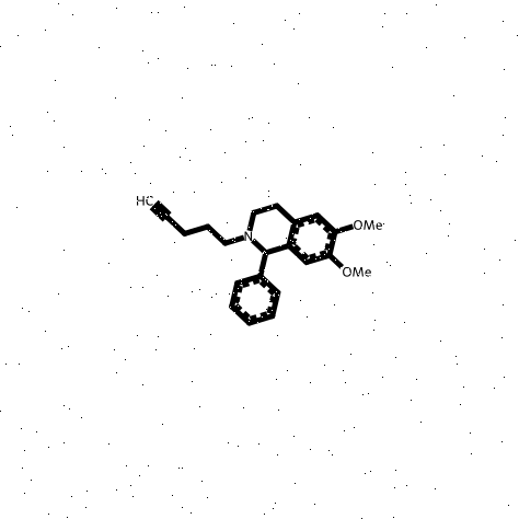 C#CCCCN1CCc2cc(OC)c(OC)cc2C1c1ccccc1